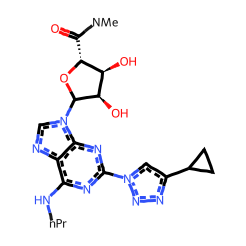 CCCNc1nc(-n2cc(C3CC3)nn2)nc2c1ncn2C1O[C@H](C(=O)NC)[C@@H](O)[C@H]1O